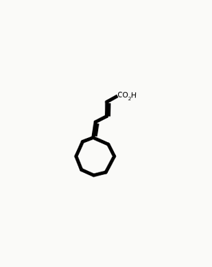 O=C(O)C=CC=C1CCCCCCC1